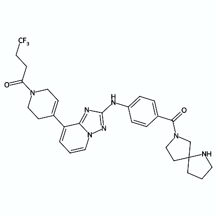 O=C(CCC(F)(F)F)N1CC=C(c2cccn3nc(Nc4ccc(C(=O)N5CCC6(CCCN6)C5)cc4)nc23)CC1